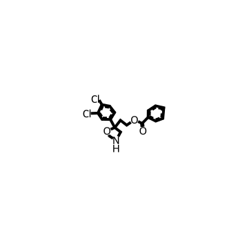 O=C(OCCC1(c2ccc(Cl)c(Cl)c2)CNCO1)c1ccccc1